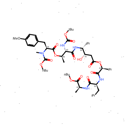 CCCCOC(=O)[C@H](C)NC(=O)[C@H](CC(C)C)NC(=O)[C@@H](OC(=O)C[C@H](O)[C@H](NC(=O)[C@@H](NC(=O)OC(C)(C)C)[C@@H](C)OC(=O)[C@H](Cc1ccc(OC)cc1)N(C)C(=O)OCCCC)C(C)C)C(C)C